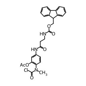 CC(=O)Oc1cc(NC(=O)CCNC(=O)OCC2c3ccccc3-c3ccccc32)ccc1N(C)C(=O)Cl